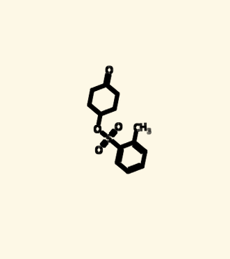 Cc1ccccc1S(=O)(=O)OC1CCC(=O)CC1